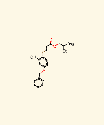 CCCCC(CC)COC(=O)CCSc1ccc(OCc2ccccc2)cc1N=O